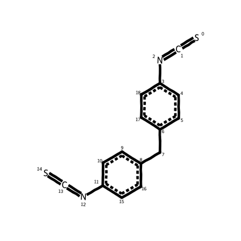 S=C=Nc1ccc(Cc2ccc(N=C=S)cc2)cc1